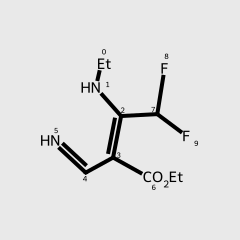 CCN/C(=C(\C=N)C(=O)OCC)C(F)F